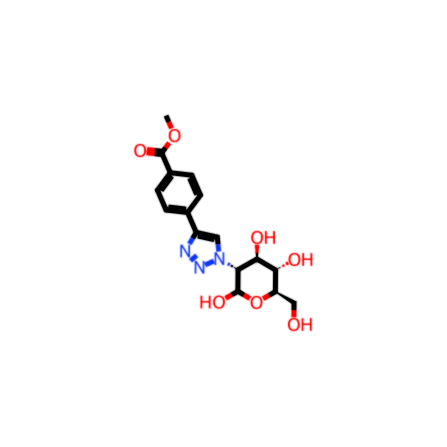 COC(=O)c1ccc(-c2cn([C@H]3C(O)O[C@H](CO)[C@@H](O)[C@@H]3O)nn2)cc1